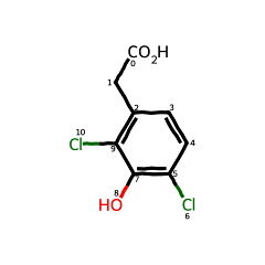 O=C(O)Cc1ccc(Cl)c(O)c1Cl